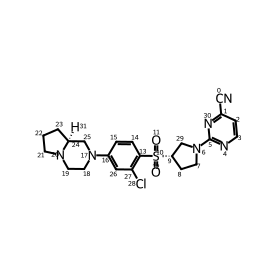 N#Cc1ccnc(N2CC[C@H](S(=O)(=O)c3ccc(N4CCN5CCC[C@H]5C4)cc3Cl)C2)n1